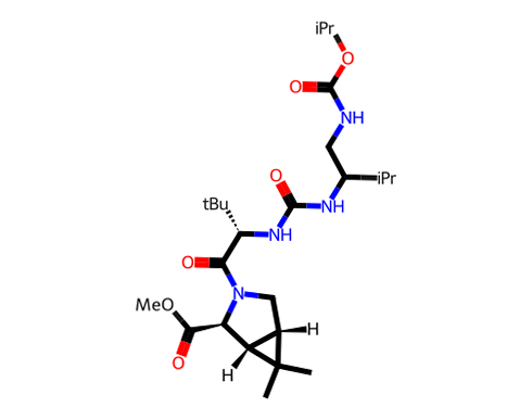 COC(=O)[C@@H]1[C@@H]2[C@H](CN1C(=O)[C@@H](NC(=O)NC(CNC(=O)OC(C)C)C(C)C)C(C)(C)C)C2(C)C